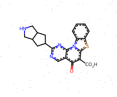 O=C(O)c1c(=O)c2cnc(C3CC4CNCC4C3)nc2n2c1sc1ccccc12